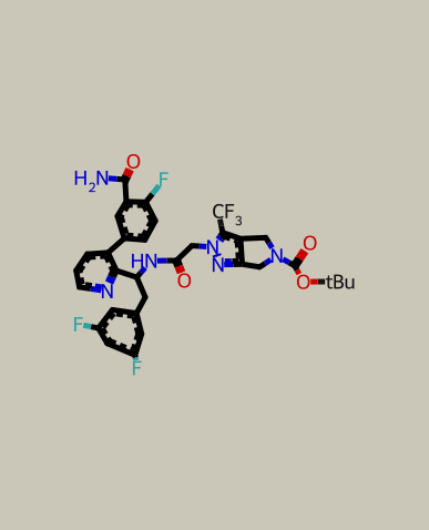 CC(C)(C)OC(=O)N1Cc2nn(CC(=O)NC(Cc3cc(F)cc(F)c3)c3ncccc3-c3ccc(F)c(C(N)=O)c3)c(C(F)(F)F)c2C1